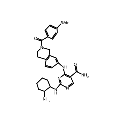 CSc1ccc(C(=O)N2CCc3ccc(Nc4nc(NC5CCCCC5N)ncc4C(N)=O)cc3C2)cc1